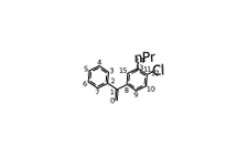 C=C(c1ccccc1)c1ccc(Cl)c(CCC)c1